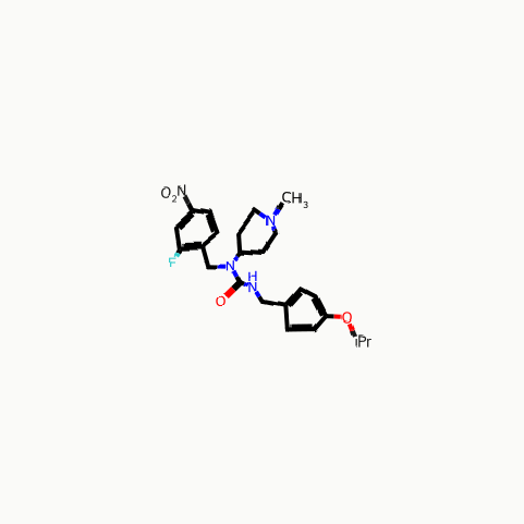 CC(C)Oc1ccc(CNC(=O)N(Cc2ccc([N+](=O)[O-])cc2F)C2CCN(C)CC2)cc1